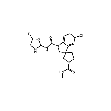 CNC(=O)N1CC[C@@]2(C1)CN(C(=O)NC1NCC(F)S1)C1=CCC(Cl)C=C12